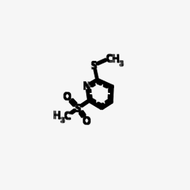 CSc1cccc(S(C)(=O)=O)n1